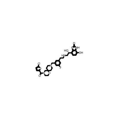 O=C(c1ccc(Cl)s1)N1CCOC2(CCN(Cc3cc(F)cc(CCNC[C@H](O)c4ccc(O)c5[nH]c(=O)sc45)c3)CC2)C1